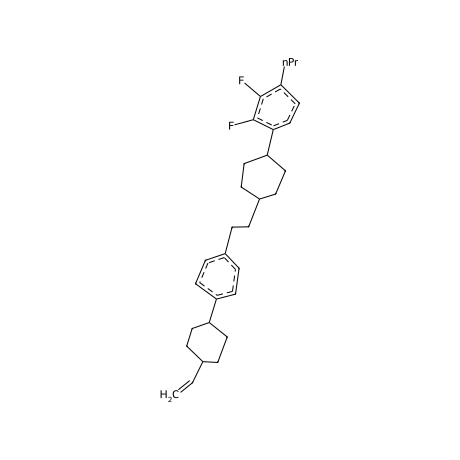 C=CC1CCC(c2ccc(CCC3CCC(c4ccc(CCC)c(F)c4F)CC3)cc2)CC1